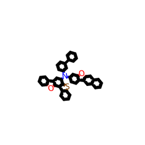 c1ccc(-c2cccc(N(c3ccc4c(c3)oc3cc5ccccc5cc34)c3cc4c5ccccc5oc4c4c3sc3ccccc34)c2)cc1